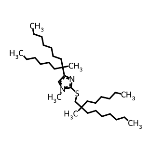 CCCCCCCC(C)(CCCCCC)CSc1nc(C(C)(CCCCCC)CCCCCCC)cn1C